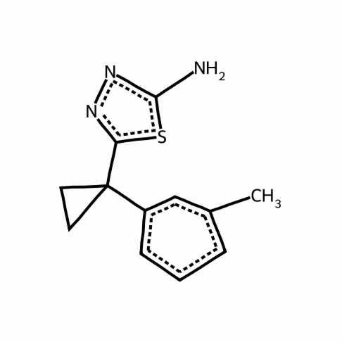 Cc1cccc(C2(c3nnc(N)s3)CC2)c1